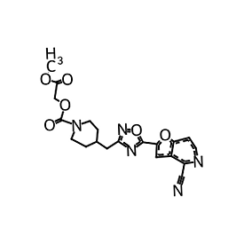 COC(=O)COC(=O)N1CCC(Cc2noc(-c3cc4c(C#N)nccc4o3)n2)CC1